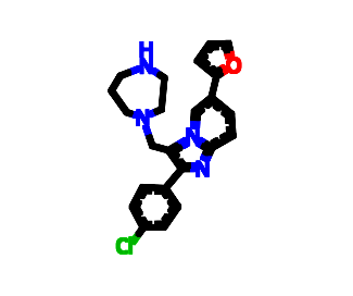 Clc1ccc(-c2nc3ccc(-c4ccco4)cn3c2CN2CCCNCC2)cc1